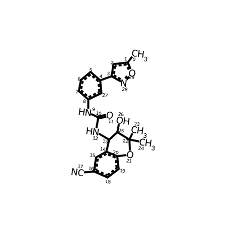 Cc1cc(-c2cccc(NC(=O)NC3c4cc(C#N)ccc4OC(C)(C)C3O)c2)no1